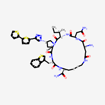 CC[C@H](C)[C@@H]1NC(=O)C(CC(N)=O)NC(=O)[C@@H](N)CC(=O)NCCCC[C@@H](C(N)=O)NC(=O)[C@H](Cc2csc3ccccc23)NC(=O)[C@@H]2C[C@H](n3cc(-c4ccc(-c5cccs5)s4)nn3)CN2C1=O